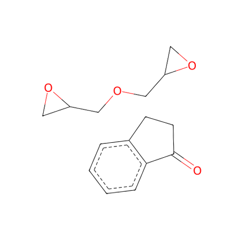 C(OCC1CO1)C1CO1.O=C1CCc2ccccc21